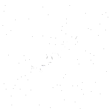 C=CCCCC1CCC(C(=O)Oc2ccc(/C=C/C(=O)O)cc2)CC1